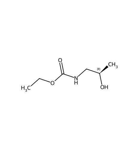 CCOC(=O)NC[C@@H](C)O